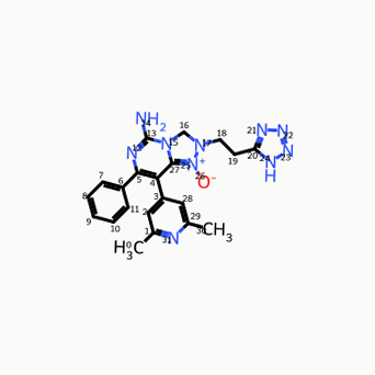 Cc1cc(C2=C(c3ccccc3)N=C(N)N3CN(CCc4nnn[nH]4)[N+]([O-])=C23)cc(C)n1